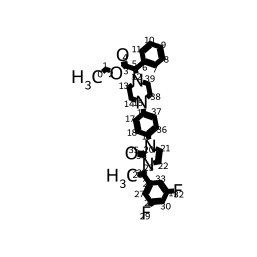 CCOC(=O)C(c1ccccc1)N1CCN(c2ccc(-n3ccn(C(C)c4cc(F)cc(F)c4)c3=O)cc2)CC1